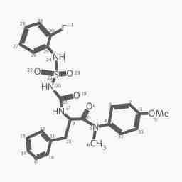 COc1ccc(N(C)C(=O)C(Cc2ccccc2)NC(=O)NS(=O)(=O)Nc2ccccc2F)cc1